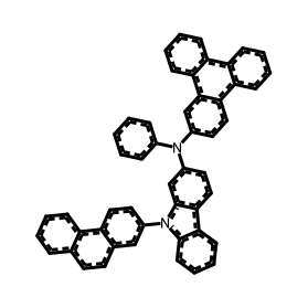 c1ccc(N(c2ccc3c4ccccc4c4ccccc4c3c2)c2ccc3c4ccccc4n(-c4ccc5c(ccc6ccccc65)c4)c3c2)cc1